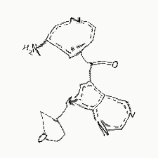 Nc1cncc(C(=O)c2cn(C3COC3)c3ncncc23)c1